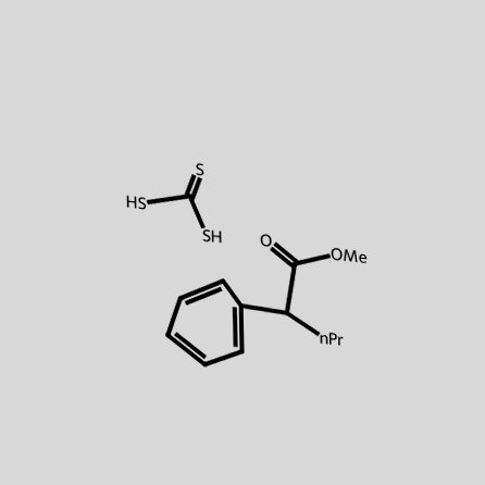 CCCC(C(=O)OC)c1ccccc1.S=C(S)S